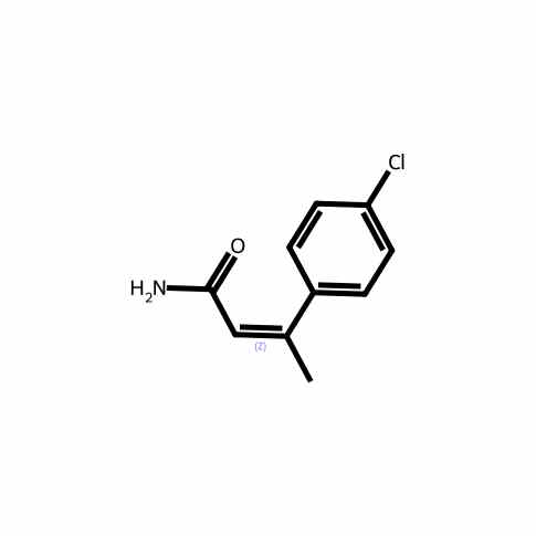 C/C(=C/C(N)=O)c1ccc(Cl)cc1